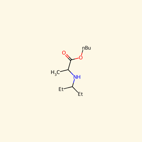 CCCCOC(=O)C(C)NC(CC)CC